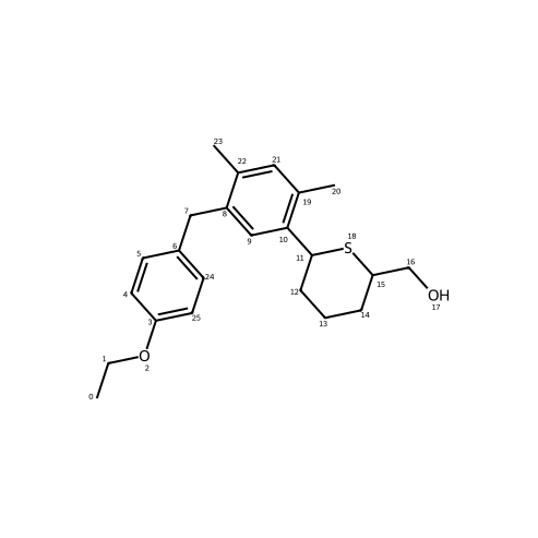 CCOc1ccc(Cc2cc(C3CCCC(CO)S3)c(C)cc2C)cc1